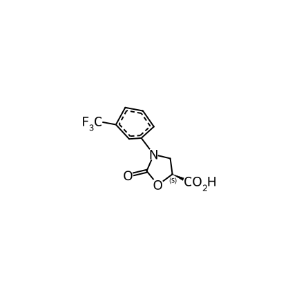 O=C(O)[C@@H]1CN(c2cccc(C(F)(F)F)c2)C(=O)O1